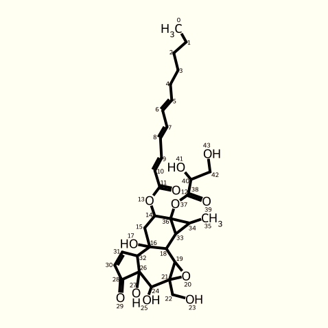 CCCCC/C=C/C=C/C=C/C(=O)OC1CC2(O)C(C3OC3(CO)C(O)C3(O)C(=O)C=CC23)C2C(C)C12OC(=O)C(O)CO